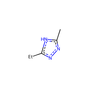 [CH2]Cc1nnc(C)[nH]1